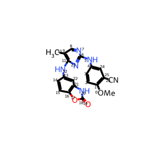 COc1ccc(Nc2ncc(C)c(Nc3ccc4oc(=O)[nH]c4c3)n2)cc1C#N